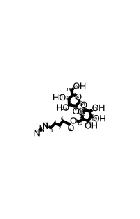 [N-]=[N+]=NCCCCC(=O)OCC1O[C@H](O[C@H]2OC(CO)[C@@H](O)C(O)C2O)C(O)C(O)[C@@H]1O